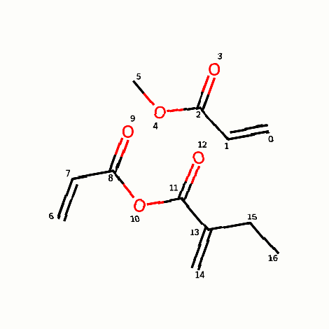 C=CC(=O)OC.C=CC(=O)OC(=O)C(=C)CC